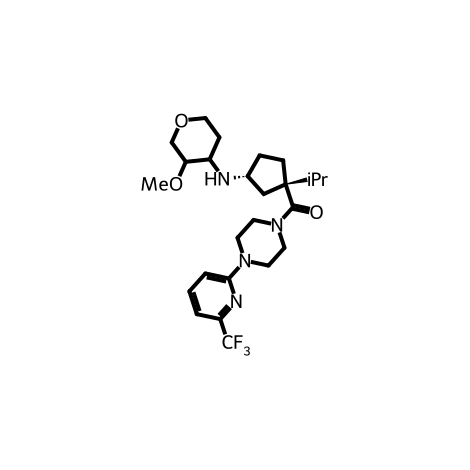 COC1COCCC1N[C@@H]1CC[C@@](C(=O)N2CCN(c3cccc(C(F)(F)F)n3)CC2)(C(C)C)C1